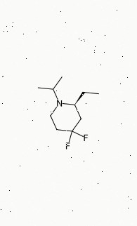 CC[C@H]1CC(F)(F)CCN1C(C)C